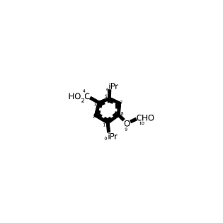 CC(C)c1cc(C(=O)O)c(C(C)C)cc1OC=O